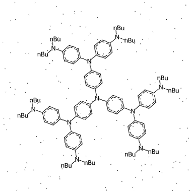 CCCCN(CCCC)c1ccc(N(c2ccc(N(CCCC)CCCC)cc2)c2ccc(N(c3ccc(N(c4ccc(N(CCCC)CCCC)cc4)c4ccc(N(CCCC)CCCC)cc4)cc3)c3ccc(N(c4ccc(N(CCCC)CCCC)cc4)c4ccc(N(CCCC)CCCC)cc4)cc3)cc2)cc1